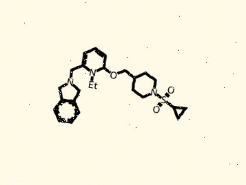 CCN1C(CN2Cc3ccccc3C2)=CC=CC1OCC1CCN(S(=O)(=O)C2CC2)CC1